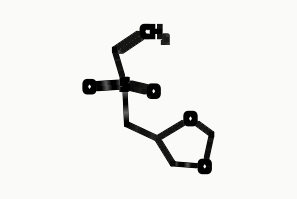 C=CS(=O)(=O)CC1COCO1